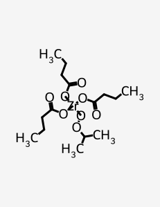 CCCC(=O)[O][Zr]([O]OC(C)C)([O]C(=O)CCC)[O]C(=O)CCC